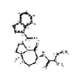 CNC(C)C(=O)N[C@H]1CCO[C@H]2CC[C@H](C(=O)n3ccc4ccccc43)N2C1=O